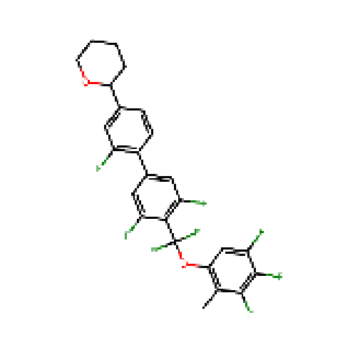 Cc1c(OC(F)(F)c2c(F)cc(-c3ccc(C4CCCCO4)cc3F)cc2F)cc(F)c(F)c1F